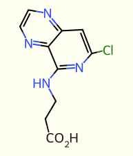 O=C(O)CCNc1nc(Cl)cc2nccnc12